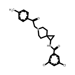 Cc1ccc(C(=O)CN2CCC3(CC2)CC3NC(=O)c2cc(Cl)cc(Cl)c2)cc1